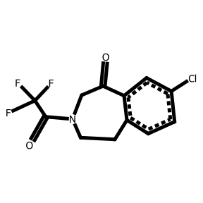 O=C1CN(C(=O)C(F)(F)F)CCc2ccc(Cl)cc21